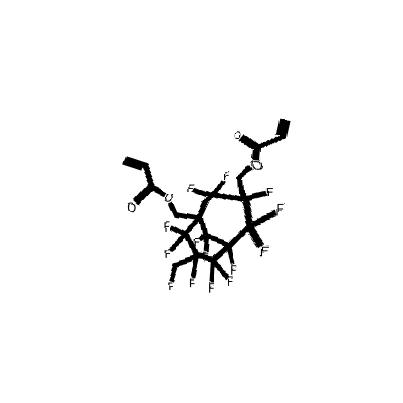 C=CC(=O)OCC1(F)C(F)(F)C2(F)C(F)(F)C(F)(CF)C(F)(F)C(COC(=O)C=C)(C1(F)F)C2(F)F